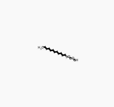 CCCCCCCCCCCCSOOOO